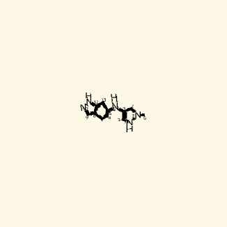 CN1CC(Nc2ccc3cn[nH]c3c2)=CN1